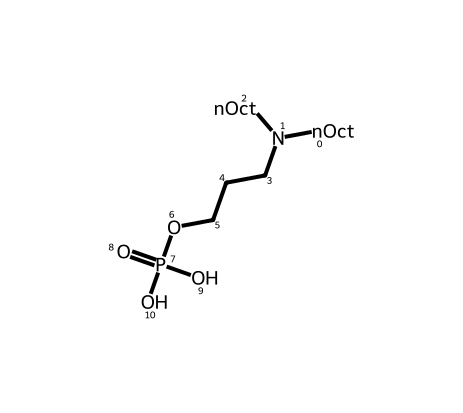 CCCCCCCCN(CCCCCCCC)CCCOP(=O)(O)O